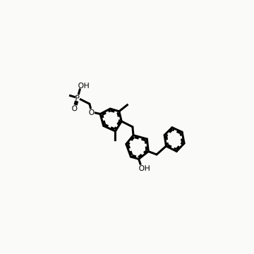 Cc1cc(OCP(C)(=O)O)cc(C)c1Cc1ccc(O)c(Cc2ccccc2)c1